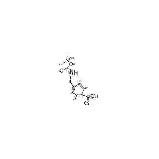 Cc1cc(CNC(=O)OC(C)(C)C)ccc1C(=O)O